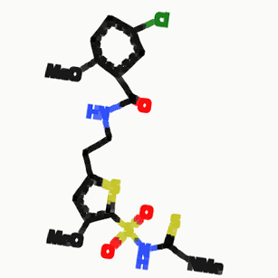 CNC(=S)NS(=O)(=O)c1sc(CCNC(=O)c2cc(Cl)ccc2OC)cc1OC